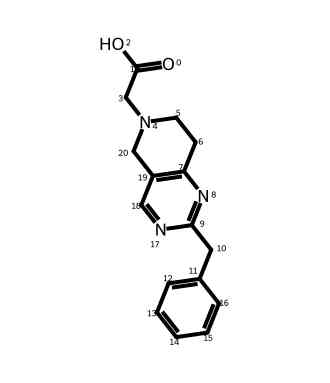 O=C(O)CN1CCc2nc(Cc3ccccc3)ncc2C1